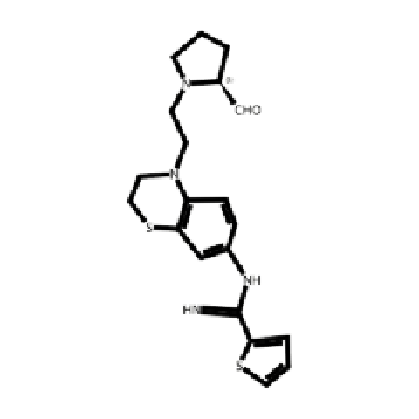 N=C(Nc1ccc2c(c1)SCCN2CCN1CCC[C@H]1C=O)c1cccs1